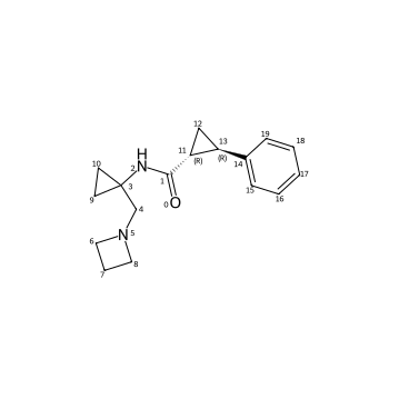 O=C(NC1(CN2CCC2)CC1)[C@@H]1C[C@H]1c1ccccc1